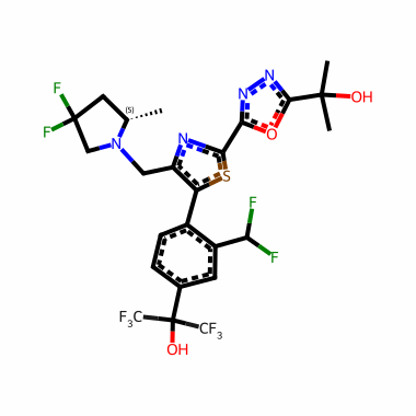 C[C@H]1CC(F)(F)CN1Cc1nc(-c2nnc(C(C)(C)O)o2)sc1-c1ccc(C(O)(C(F)(F)F)C(F)(F)F)cc1C(F)F